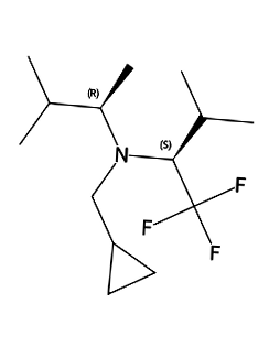 CC(C)[C@@H](C)N(CC1CC1)[C@@H](C(C)C)C(F)(F)F